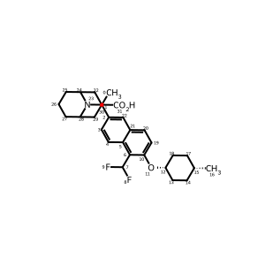 CC(c1ccc2c(C(F)F)c(O[C@H]3CC[C@@H](C)CC3)ccc2c1)N1C2CCCC1CC(C(=O)O)C2